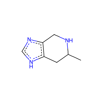 CC1Cc2[nH]cnc2CN1